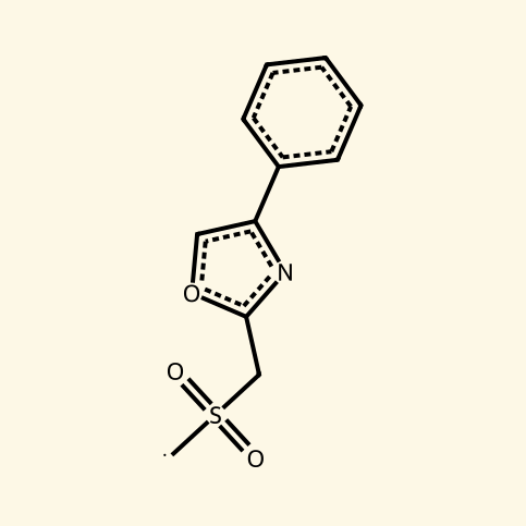 [CH2]S(=O)(=O)Cc1nc(-c2ccccc2)co1